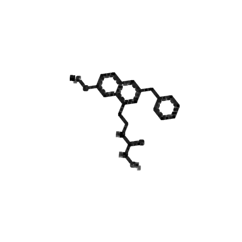 CNC(=O)NCCc1cc(Cc2ccccc2)cc2ccc(OC)cc12